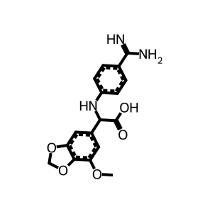 COc1cc(C(Nc2ccc(C(=N)N)cc2)C(=O)O)cc2c1OCO2